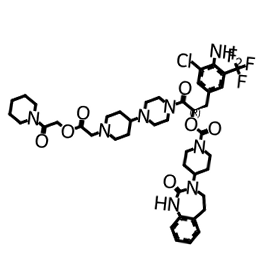 Nc1c(Cl)cc(C[C@@H](OC(=O)N2CCC(N3CCc4ccccc4NC3=O)CC2)C(=O)N2CCN(C3CCN(CC(=O)OCC(=O)N4CCCCC4)CC3)CC2)cc1C(F)(F)F